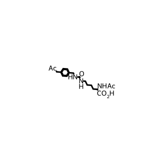 CC(=O)Cc1ccc(CNC(=O)NCCCC[C@H](NC(C)=O)C(=O)O)cc1